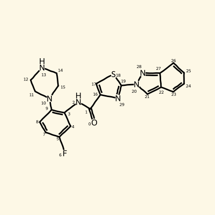 O=C(Nc1cc(F)ccc1N1CCNCC1)c1csc(-n2cc3ccccc3n2)n1